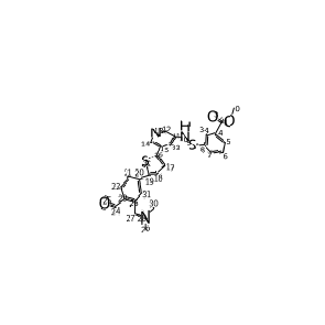 COC(=O)c1cccc(SNc2cncc(-c3ccc(-c4ccc(C=O)c(CN(C)C)c4)s3)c2)c1